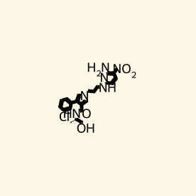 C[C@@H](CO)NC(=O)c1cn(CCCNc2ccc([N+](=O)[O-])c(N)n2)cc1-c1cccc(Cl)c1